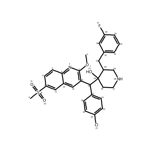 COc1nc2ccc(S(C)(=O)=O)cc2cc1C(c1ccc(Cl)cc1)C1(O)CCNCC1Cc1cccc(F)c1